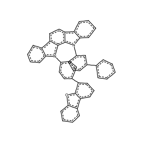 c1ccc(-c2cccc(-n3c4ccccc4c4ccc5c6ccccc6n(-c6ccc(-c7cccc8c7oc7ccccc78)cc6)c5c43)c2)cc1